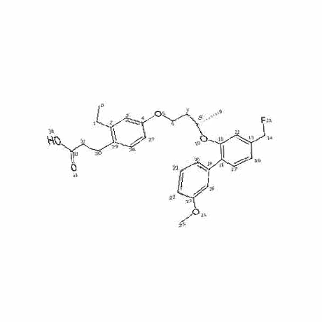 CCc1cc(OCC[C@H](C)Oc2cc(CF)ccc2-c2cccc(OC)c2)ccc1CCC(=O)O